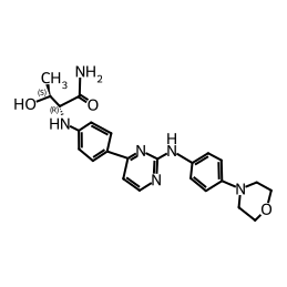 C[C@H](O)[C@@H](Nc1ccc(-c2ccnc(Nc3ccc(N4CCOCC4)cc3)n2)cc1)C(N)=O